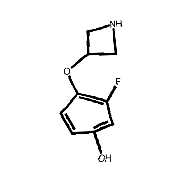 Oc1ccc(OC2CNC2)c(F)c1